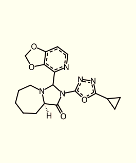 O=C1[C@H]2CCCCCN2C(c2nccc3c2OCO3)N1c1nnc(C2CC2)o1